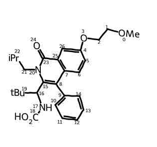 COCCOc1ccc2c(-c3ccccc3)c(C(NC(=O)O)C(C)(C)C)n(CC(C)C)c(=O)c2c1